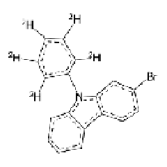 [2H]c1c([2H])c([2H])c(-n2c3ccccc3c3ccc(Br)cc32)c([2H])c1[2H]